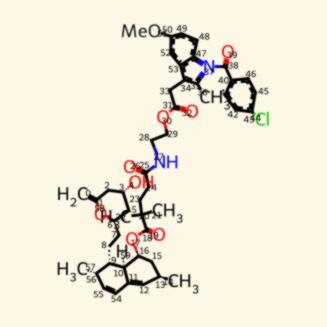 C=C1C[C@H](O)C[C@@H](CC[C@@H]2[C@@H]3C(=C[C@H](C)C[C@@H]3OC(=O)C(C)(C)CCC(=O)NCCOC(=O)Cc3c(C)n(C(=O)c4ccc(Cl)cc4)c4ccc(OC)cc34)C=C[C@@H]2C)O1